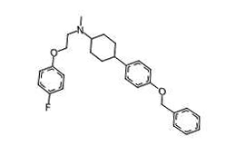 CN(CCOc1ccc(F)cc1)C1CCC(c2ccc(OCc3ccccc3)cc2)CC1